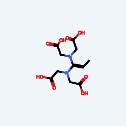 CC=C(N(CC(=O)O)CC(=O)O)N(CC(=O)O)CC(=O)O